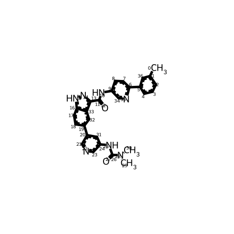 Cc1cccc(-c2ccc(NC(=O)c3n[nH]c4ccc(-c5cncc(NC(=O)N(C)C)c5)cc34)cn2)c1